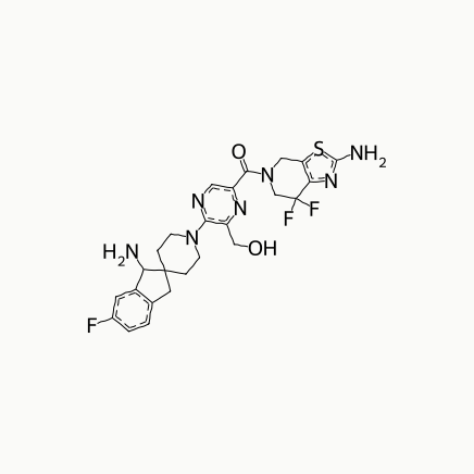 Nc1nc2c(s1)CN(C(=O)c1cnc(N3CCC4(CC3)Cc3ccc(F)cc3C4N)c(CO)n1)CC2(F)F